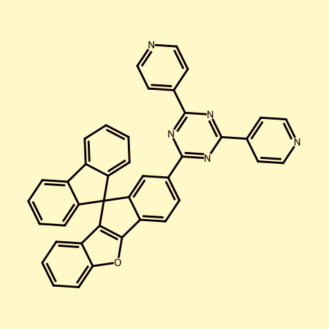 c1ccc2c(c1)-c1ccccc1C21c2cc(-c3nc(-c4ccncc4)nc(-c4ccncc4)n3)ccc2-c2oc3ccccc3c21